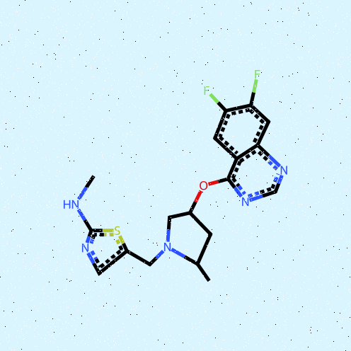 CNc1ncc(CN2CC(Oc3ncnc4cc(F)c(F)cc34)CC2C)s1